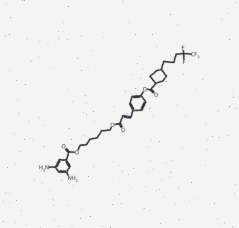 Nc1cc(N)cc(C(=O)OCCCCCCOC(=O)/C=C/c2ccc(OC(=O)C3CCC(CCCC(F)(F)C(F)(F)F)CC3)cc2)c1